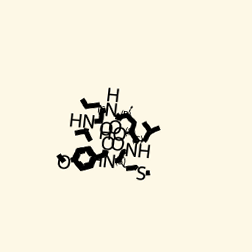 CCC[C@H](NC(=O)[C@H](C)C[C@H](O)[C@H](CC(C)C)NC(=O)[C@H](CCSC)NC(=O)c1ccc(OC)cc1)C(=O)NC(C)C